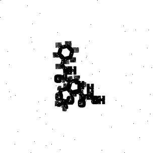 CC1(C)OCc2c(C(=O)NCC3CCCCC3)cnc(C(=O)NO)c2O1